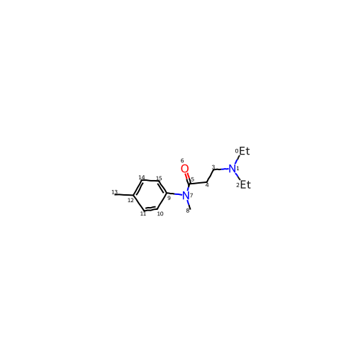 CCN(CC)CCC(=O)N(C)c1ccc(C)cc1